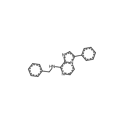 c1ccc(CNc2nccn3c(-c4ccccc4)cnc23)cc1